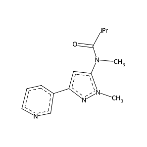 CC(C)C(=O)N(C)c1cc(-c2cccnc2)nn1C